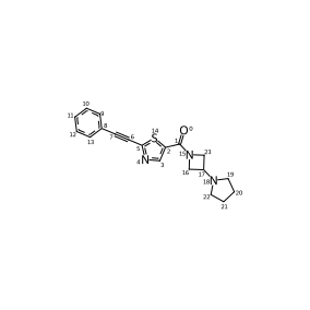 O=C(c1cnc(C#Cc2ccccc2)s1)N1CC(N2CCCC2)C1